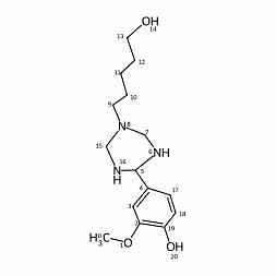 COc1cc(C2NCN(CCCCCO)CN2)ccc1O